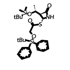 C[C@@H](O[Si](C)(C)C(C)(C)C)[C@H]1C(=O)N[C@@H]1SC(=O)CO[Si](c1ccccc1)(c1ccccc1)C(C)(C)C